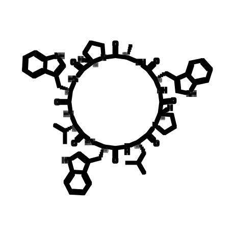 CC(C)C[C@@H]1NC(=O)[C@H](Cc2c[nH]c3ccccc23)NC(=O)[C@H](C(C)C)NC(=O)[C@H](Cc2c[nH]c3ccccc23)NC(=O)[C@@H]2CCCN2C(=O)[C@H](C)NC(=O)[C@H](Cc2c[nH]c3ccccc23)NC(=O)[C@@H]2CCCN2C1=O